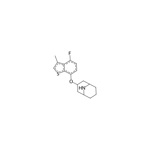 Cc1csc2c(OC3CC4CCCC(C3)N4)ccc(F)c12